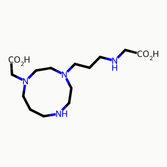 O=C(O)CNCCCN1CCNCCCN(CC(=O)O)CC1